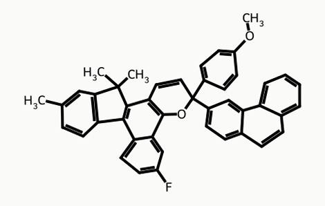 COc1ccc(C2(c3ccc4ccc5ccccc5c4c3)C=Cc3c4c(c5ccc(F)cc5c3O2)-c2ccc(C)cc2C4(C)C)cc1